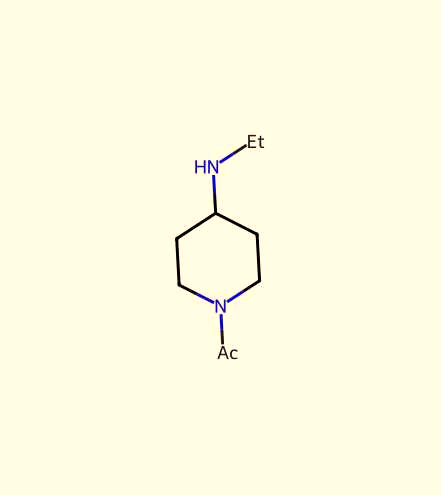 CCNC1CCN(C(C)=O)CC1